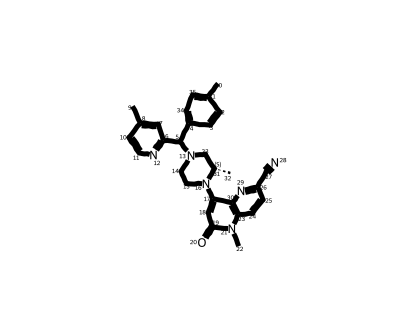 Cc1ccc(C(c2cc(C)ccn2)N2CCN(c3cc(=O)n(C)c4ccc(C#N)nc34)[C@@H](C)C2)cc1